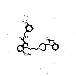 COc1cccc2c(C(=O)NCc3cccc(C)c3)cn(CCCN3CCC(N4C(=O)Cc5ccccc54)CC3)c12